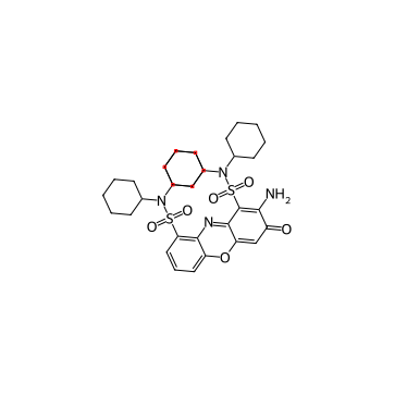 Nc1c(S(=O)(=O)N(C2CCCCC2)C2CCCCC2)c2nc3c(S(=O)(=O)N(C4CCCCC4)C4CCCCC4)cccc3oc-2cc1=O